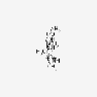 CC1=C2C[C@H]3[C@@H](CC[C@@H]4C[C@H](OC(=O)CN)CC[C@@]43C)[C@@H]2CC[C@]2(C1)C[C@@H]1NC[C@@H](C)C[C@H]1O2